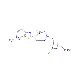 C[C@@H]1CN(Cc2cc(Cl)cc(CC(=O)O)c2)CCN1c1nc2ccc(C(F)(F)F)cc2s1